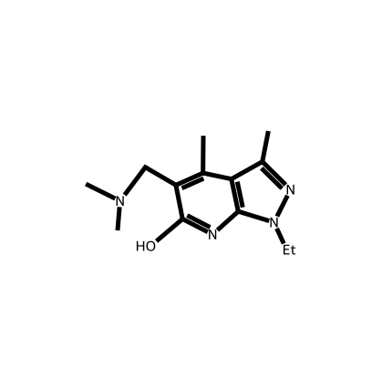 CCn1nc(C)c2c(C)c(CN(C)C)c(O)nc21